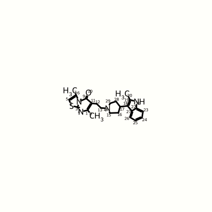 Cc1nc2scc(C)n2c(=O)c1CCN1CCC(c2c(C)[nH]c3ccccc23)CC1